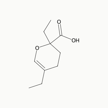 CCC1=COC(CC)(C(=O)O)CC1